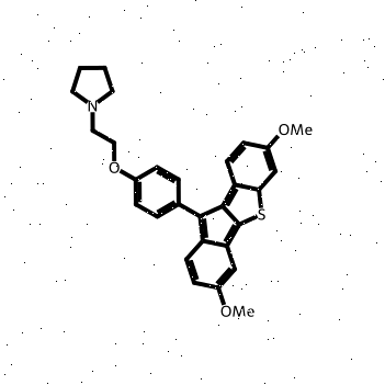 COC1=CC2SC3=c4cc(OC)ccc4=C(c4ccc(OCCN5CCCC5)cc4)C3=C2C=C1